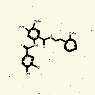 COc1ccccc1CCNC(=O)c1cc(OC)c(OC)cc1NC(=O)c1ccc(O)c(Cl)c1